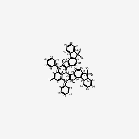 Cc1cc2c3c(c1)N(c1ccccc1)c1oc4c5c(ccc4c1B3c1c(oc3c4c(ccc13)C(C)(C)c1ccccc1-4)N2c1ccccc1)C(C)(C)C1C=CC=CC51